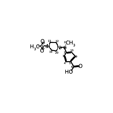 C[C@H](c1ccc(C(=O)O)cc1)N1CCN(S(C)(=O)=O)CC1